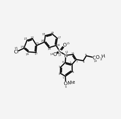 COc1ccc2c(c1)c(CCC(=O)O)cn2S(=O)(=O)c1cccc(-c2ccc(Cl)cc2)c1